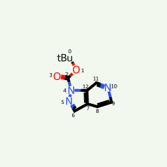 CC(C)(C)OC(=O)n1ncc2ccncc21